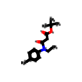 CCN(C(=O)CC(=O)OC(C)(C)C)c1ccc(C)cc1